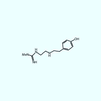 CNC(=N)NCCNCCc1ccc(O)cc1